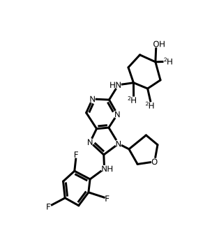 [2H]C1CC([2H])(O)CCC1([2H])Nc1ncc2nc(Nc3c(F)cc(F)cc3F)n(C3CCOC3)c2n1